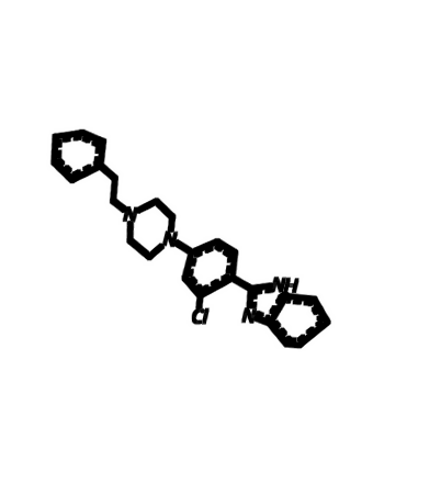 Clc1cc(N2CCN(CCc3ccccc3)CC2)ccc1-c1nc2ccccc2[nH]1